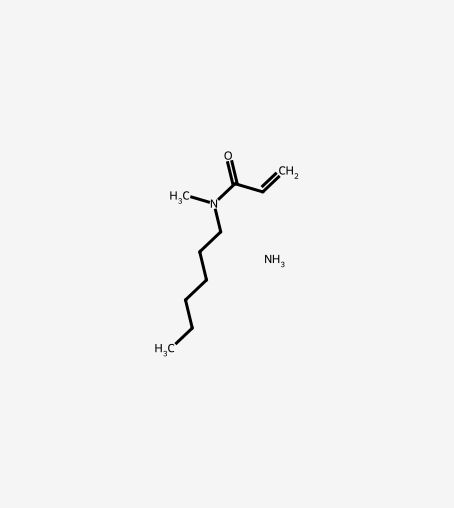 C=CC(=O)N(C)CCCCCC.N